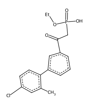 CCOP(=O)(O)CC(=O)c1cccc(-c2ccc(Cl)cc2C)c1